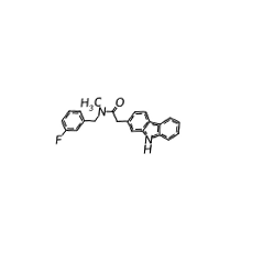 CN(Cc1cccc(F)c1)C(=O)Cc1ccc2c(c1)[nH]c1ccccc12